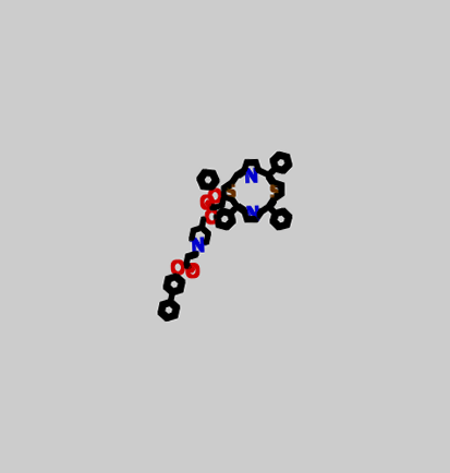 O=C(C=CN1CCC(COC(=O)CC2(Oc3ccccc3)C=C3C=C4C=CC(=N4)C(c4ccccc4)=c4ccc(s4)=C(c4ccccc4)C4=NC(=C(c5ccccc5)C2S3)C=C4)CC1)Oc1ccc(-c2ccccc2)cc1